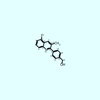 Cc1cc2c(F)cccc2nc1-c1ccc(CO)cc1